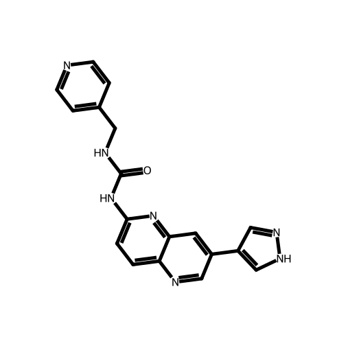 O=C(NCc1ccncc1)Nc1ccc2ncc(-c3cn[nH]c3)cc2n1